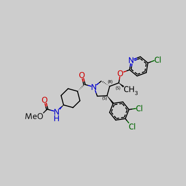 COC(=O)N[C@H]1CC[C@H](C(=O)N2C[C@H]([C@H](C)Oc3ccc(Cl)cn3)[C@@H](c3ccc(Cl)c(Cl)c3)C2)CC1